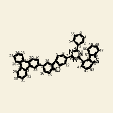 c1ccc(-c2nc(-c3ccc4c(c3)oc3ccc(-c5ccc6c7ccccc7c7ccccc7c6c5)cc34)nc(-c3cccc4sc5ccccc5c34)n2)cc1